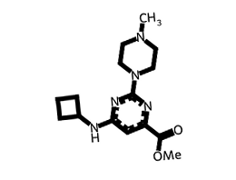 COC(=O)c1cc(NC2CCC2)nc(N2CCN(C)CC2)n1